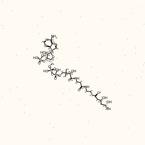 CC[C@H](C)[C@@H](O)C[C@H](O)CC(=O)SCCNC(=O)CCNC(=O)[C@H](O)C(C)(C)COP(=O)(O)OP(=O)(O)OC[C@H]1O[C@@H](n2cnc3c(N)ncnc32)[C@H](O)[C@@H]1OP(=O)(O)O